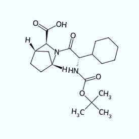 CC(C)(C)OC(=O)N[C@H](C(=O)N1[C@@H]2CC[C@@H](C2)[C@H]1C(=O)O)C1CCCCC1